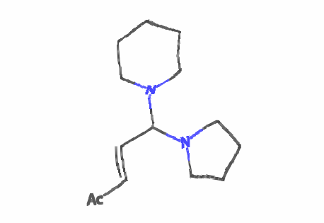 CC(=O)C=CC(N1CCCCC1)N1CCCC1